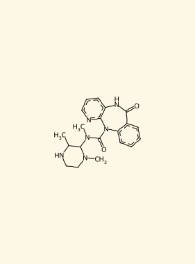 CC1NCCN(C)C1N(C)C(=O)N1c2ccccc2C(=O)Nc2cccnc21